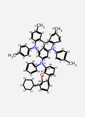 Cc1ccc(N2c3ccc(C)cc3B3c4cc(C)ccc4N(c4ccc(C)cc4)c4cc(N(c5ccccc5)c5cccc6c5oc5c(C7CCCCC7)cccc56)cc2c43)cc1